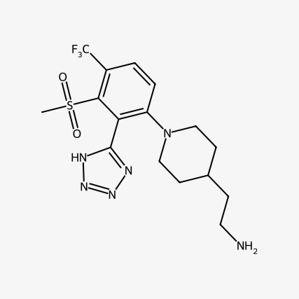 CS(=O)(=O)c1c(C(F)(F)F)ccc(N2CCC(CCN)CC2)c1-c1nnn[nH]1